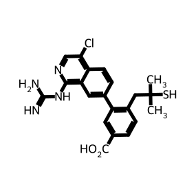 CC(C)(S)Cc1ccc(C(=O)O)cc1-c1ccc2c(Cl)cnc(NC(=N)N)c2c1